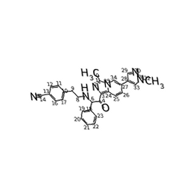 Cc1nc(C(=O)C(NCCc2ccc(C#N)cc2)c2ccccc2)c2ccc(-c3cnn(C)c3)cn12